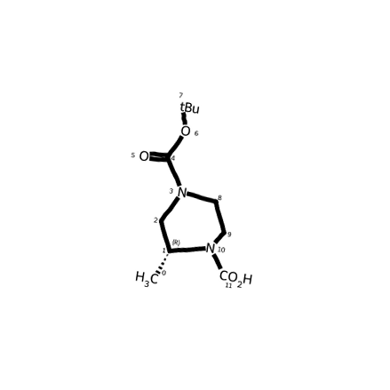 C[C@@H]1CN(C(=O)OC(C)(C)C)CCN1C(=O)O